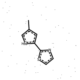 Cc1c[nH]c(-c2nccs2)c1